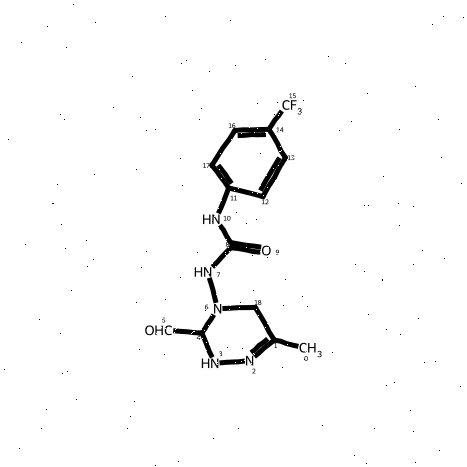 CC1=NNC(C=O)N(NC(=O)Nc2ccc(C(F)(F)F)cc2)C1